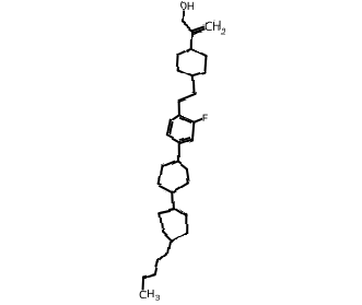 C=C(CO)C1CCC(CCc2ccc(C3CCC(C4CCC(CCCCC)CC4)CC3)cc2F)CC1